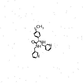 CSc1ccc(C(NCc2cccnc2)C(=O)NCc2cccnc2)cc1